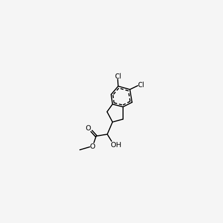 COC(=O)C(O)C1Cc2cc(Cl)c(Cl)cc2C1